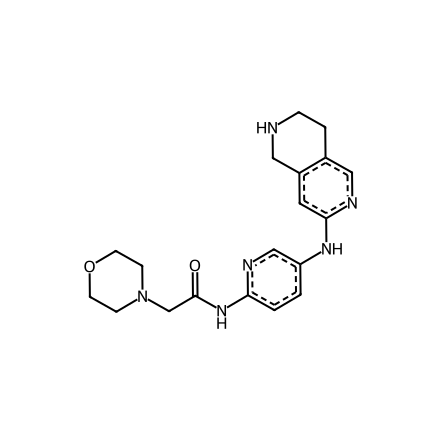 O=C(CN1CCOCC1)Nc1ccc(Nc2cc3c(cn2)CCNC3)cn1